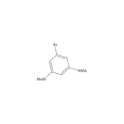 CNc1cc(NC)cc(C(C)=O)c1